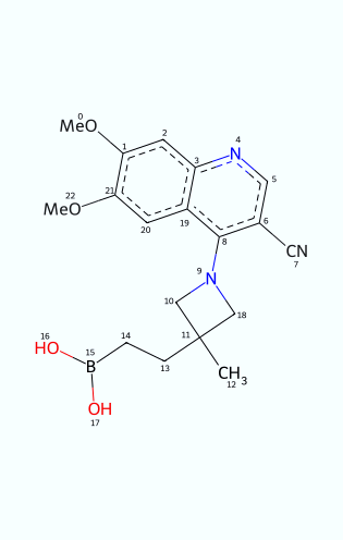 COc1cc2ncc(C#N)c(N3CC(C)(CCB(O)O)C3)c2cc1OC